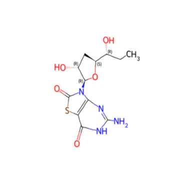 CC[C@@H](O)[C@@H]1C[C@@H](O)[C@H](n2c(=O)sc3c(=O)[nH]c(N)nc32)O1